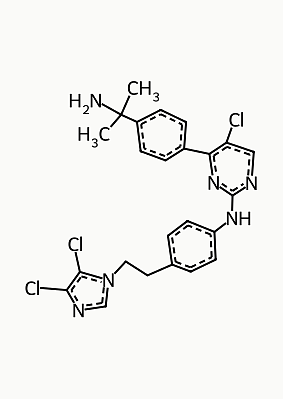 CC(C)(N)c1ccc(-c2nc(Nc3ccc(CCn4cnc(Cl)c4Cl)cc3)ncc2Cl)cc1